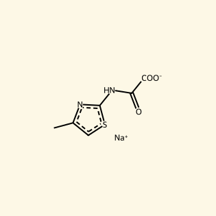 Cc1csc(NC(=O)C(=O)[O-])n1.[Na+]